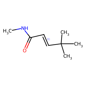 CNC(=O)/C=C/C(C)(C)C